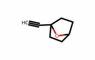 C#CC12CCC(CC1)O2